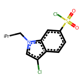 CC(C)Cn1cc(Cl)c2ccc(S(=O)(=O)Cl)cc21